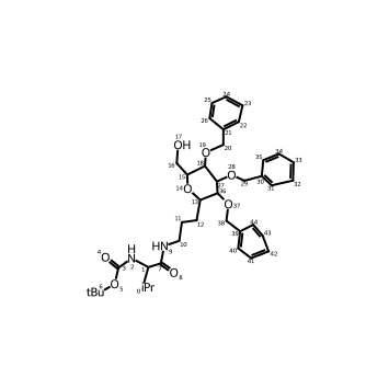 CC(C)C(NC(=O)OC(C)(C)C)C(=O)NCCCC1OC(CO)C(OCc2ccccc2)C(OCc2ccccc2)C1OCc1ccccc1